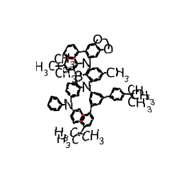 Cc1cc2c3c(c1)N(c1cc4c(cc1-c1ccccc1)OCCO4)c1ccc(C(C)(C)C)cc1B3c1ccc(N(c3ccccc3)c3ccccc3)cc1N2c1cc(-c2ccc(C(C)(C)C)cc2)cc(-c2ccc(C(C)(C)C)cc2)c1